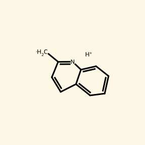 [CH2]c1ccc2ccccc2n1.[H+]